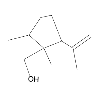 C=C(C)C1CCC(C)C1(C)CO